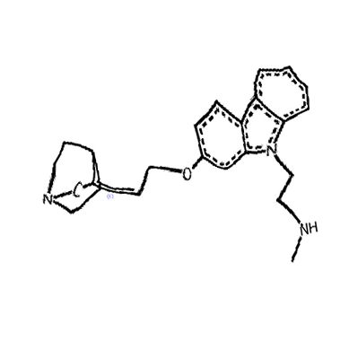 CNCCn1c2ccccc2c2ccc(OC/C=C3/CN4CCC3CC4)cc21